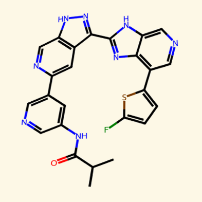 CC(C)C(=O)Nc1cncc(-c2cc3c(-c4nc5c(-c6ccc(F)s6)cncc5[nH]4)n[nH]c3cn2)c1